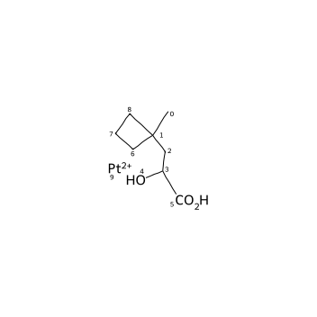 CC1(CC(O)C(=O)O)CCC1.[Pt+2]